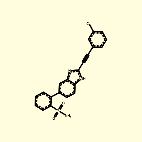 NS(=O)(=O)c1ccccc1-c1ccc2[nH]c(C#Cc3cccc(Cl)c3)nc2c1